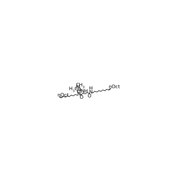 CCCCCCCC/C=C\CCCCCCCCNC(=O)CCC(NC(=O)CN(C)C)C(=O)NCCCCCCCC/C=C\CCCCCCCC